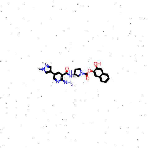 Cn1cc(-c2cnc(N)c(C(=O)N[C@@H]3CCN(C(=O)Oc4cc5ccccc5cc4O)C3)c2)cn1